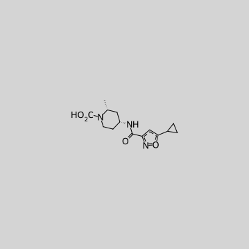 C[C@@H]1C[C@H](NC(=O)c2cc(C3CC3)on2)CCN1C(=O)O